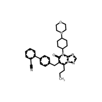 CCCc1c(Cc2ccc(-c3ccccc3C#N)cc2)c(=O)n(C2CCC(N3CCOCC3)CC2)c2ncnn12